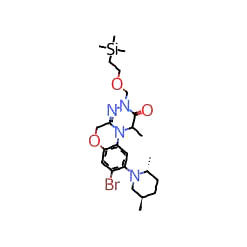 CC1C(=O)N(COCC[Si](C)(C)C)N=C2COc3cc(Br)c(N4C[C@H](C)CC[C@H]4C)cc3N21